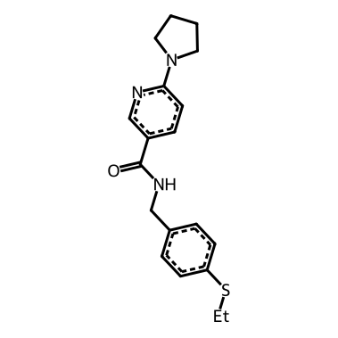 CCSc1ccc(CNC(=O)c2ccc(N3CCCC3)nc2)cc1